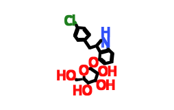 OC[C@H]1O[C@@H](Oc2cccc3c2C(Cc2ccc(Cl)cc2)CN3)[C@H](O)[C@@H](O)[C@@H]1O